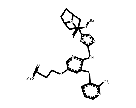 COC(=O)CCSc1cnc(Nc2nc(C3CC4CCC(C3)N4C(=O)OC(C)(C)C)ns2)c(Oc2cccnc2C)c1